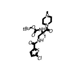 CN1CCN(C(=O)[C@@](I)(CNC(=O)c2ccc(Cl)s2)NC(=O)OC(C)(C)C)CC1